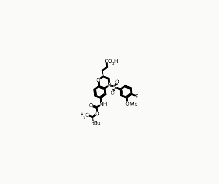 COc1cc(S(=O)(=O)N2C[C@H](CCC(=O)O)Oc3ccc(NC(=O)O[C@@H](C(C)(C)C)C(F)(F)F)cc32)ccc1F